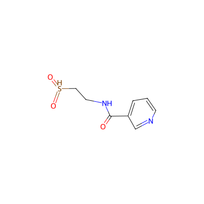 O=C(NCC[SH](=O)=O)c1cccnc1